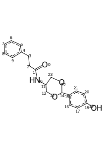 O=C(CCc1ccccc1)NC1COC(c2ccc(O)cc2)OC1